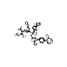 CC(C)[C@H](NCC(CCC=O)N(C[C@H]1CN(c2ccc(N3CCOCC3=O)cc2)C(=O)O1)C(=O)c1ccc(Cl)s1)C(=O)O.Cl